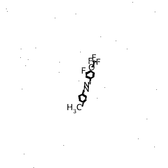 CCc1ccc(C=NN=Cc2ccc(OCC(F)(F)F)c(F)c2)cc1